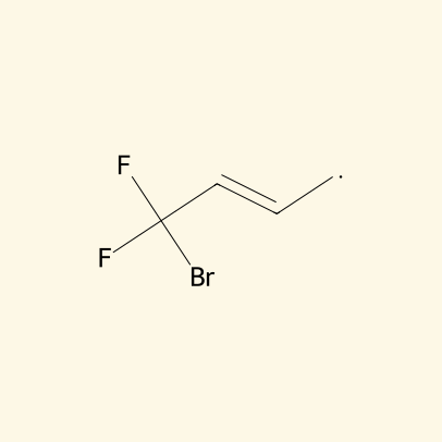 [CH2]/C=C/C(F)(F)Br